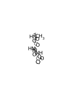 CC1(NC(=O)O[C@@H]2CO[C@H](c3cc(NC(=O)[C@@H]4Cc5ccccc5C(=O)O4)n[nH]3)C2)CC1